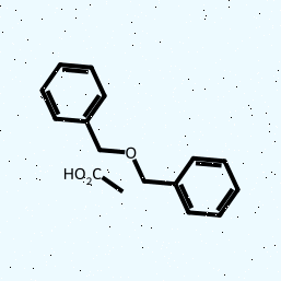 CC(=O)O.c1ccc(COCc2ccccc2)cc1